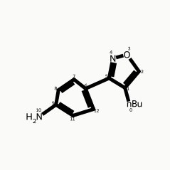 CCCCc1conc1-c1ccc(N)cc1